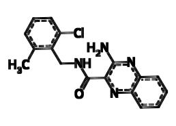 Cc1cccc(Cl)c1CNC(=O)c1nc2ccccc2nc1N